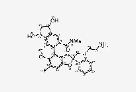 CNC(=O)c1cc2c(c(F)c1-c1c(Cl)c(F)cc3c1CC(CCCCN)(c1ccccc1)O3)C(O)CC2O